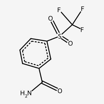 NC(=O)c1cccc(S(=O)(=O)C(F)(F)F)c1